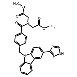 COC(=O)CN(CC(=O)OC)C(=O)c1ccc(Cn2c3ccccc3c3cc(-c4nn[nH]n4)ccc32)cc1